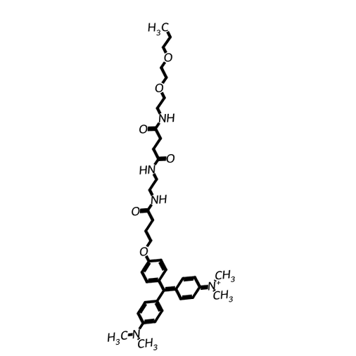 CCCOCCOCCNC(=O)CCC(=O)NCCNC(=O)CCCOc1ccc(C(=C2C=CC(=[N+](C)C)C=C2)c2ccc(N(C)C)cc2)cc1